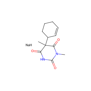 CN1C(=O)NC(=O)C(C)(C2C=CCCC2)C1=O.[NaH]